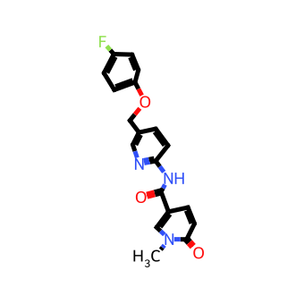 Cn1cc(C(=O)Nc2ccc(COc3ccc(F)cc3)cn2)ccc1=O